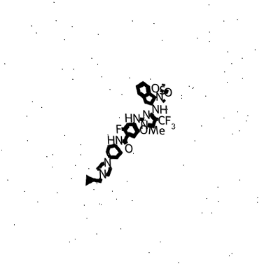 COc1cc(C(=O)NC2CCC(N3CCN(CC4CC4)CC3)CC2)c(F)cc1Nc1ncc(C(F)(F)F)c(N[C@@H]2Cc3ccccc3[C@H]2N(C)S(C)(=O)=O)n1